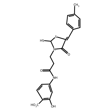 Cc1ccc(/C=C2\SC(S)N(CCC(=O)Nc3ccc(C(=O)O)c(O)c3)C2=O)cc1